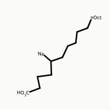 CCCCCCCCCCCCC[CH]([Na])CCCC(=O)O